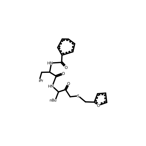 CCCCC(NC(=O)C(CC(C)C)NC(=O)c1ccccc1)C(=O)CSCc1ccco1